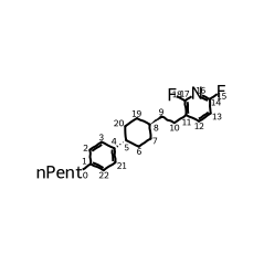 CCCCCc1ccc([C@H]2CC[C@H](CCc3ccc(F)nc3F)CC2)cc1